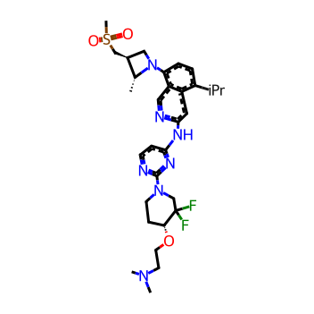 CC(C)c1ccc(N2C[C@H](CS(C)(=O)=O)[C@H]2C)c2cnc(Nc3ccnc(N4CC[C@@H](OCCN(C)C)C(F)(F)C4)n3)cc12